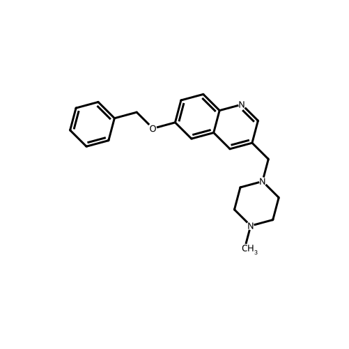 CN1CCN(Cc2cnc3ccc(OCc4ccccc4)cc3c2)CC1